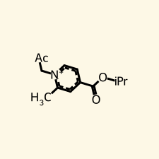 CC(=O)C[n+]1ccc(C(=O)OC(C)C)cc1C